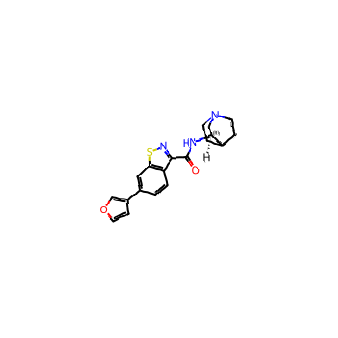 O=C(N[C@H]1CN2CCC1CC2)c1nsc2cc(-c3ccoc3)ccc12